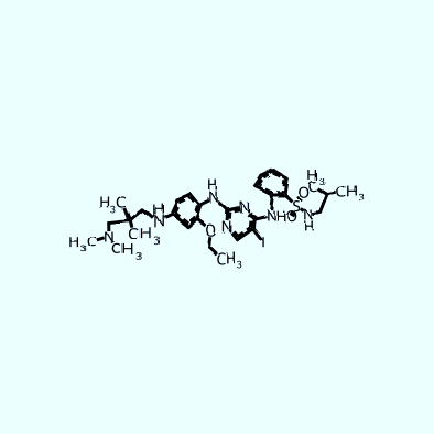 CCOc1cc(NCC(C)(C)CN(C)C)ccc1Nc1ncc(I)c(Nc2ccccc2S(=O)(=O)NCC(C)C)n1